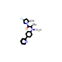 CC(C)(C)C(C(=O)N1C[C@@H](F)C[C@H]1C#N)N(C(=O)O)C1CCC(c2ccccn2)CC1